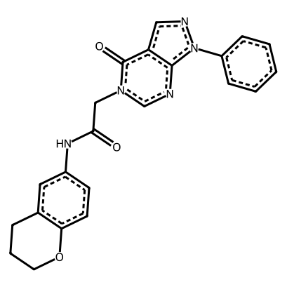 O=C(Cn1cnc2c(cnn2-c2ccccc2)c1=O)Nc1ccc2c(c1)CCCO2